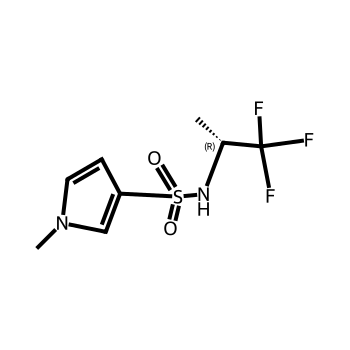 C[C@@H](NS(=O)(=O)c1ccn(C)c1)C(F)(F)F